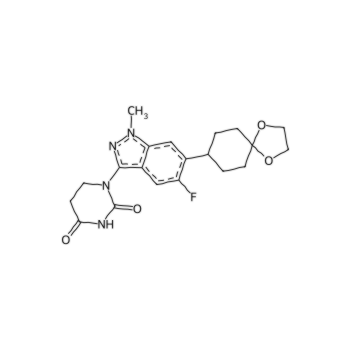 Cn1nc(N2CCC(=O)NC2=O)c2cc(F)c(C3CCC4(CC3)OCCO4)cc21